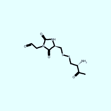 CC(=O)[C@@H](N)CSSC[C@@H]1NC(=O)N(CC=O)C1=O